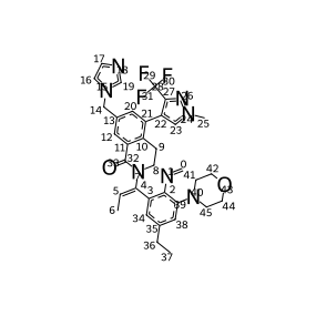 C=Nc1c(/C(=C\C)N2CCc3c(cc(Cn4ccnc4)cc3-c3cn(C)nc3C(F)(F)F)C2=O)cc(CC)cc1N1CCOCC1